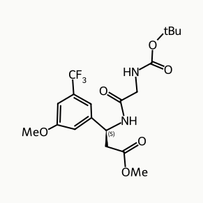 COC(=O)C[C@H](NC(=O)CNC(=O)OC(C)(C)C)c1cc(OC)cc(C(F)(F)F)c1